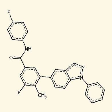 Cc1c(F)cc(C(=O)Nc2ccc(F)cc2)cc1-c1ccc2c(cnn2-c2ccccc2)c1